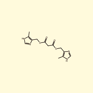 Cc1[nH]cnc1COC(=O)CC(=O)OCc1nc[nH]c1C